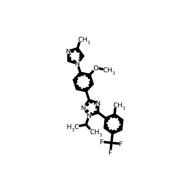 COc1cc(-c2nc(-c3cc(C(F)(F)F)ccc3C)n(C(C)C)n2)ccc1-n1cnc(C)c1